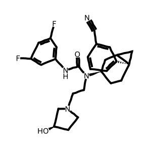 N#Cc1cccc([C@]23CC[C@@H](N(CCN4CC[C@@H](O)C4)C(=O)Nc4cc(F)cc(F)c4)CC2C3)c1